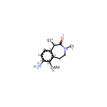 CCC1C(=O)N(CC)CCc2c1ccc(N)c2OC